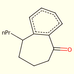 CCCC1CCCC(=O)c2ccccc21